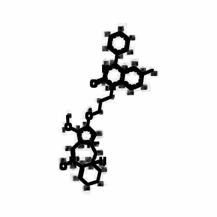 COc1c(OCCCn2c(=O)nc(-c3ccccc3)c3cc(C)ccc32)cn2c1C=[N+]([O-])C1=CCCC[C@H]1C2